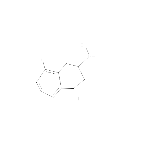 CCN(CC)C1CCc2cccc(Cl)c2C1.Cl